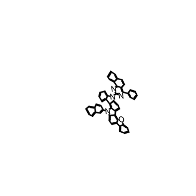 c1ccc(-c2nc(-n3c4ccccc4c4c3ccc3c5c6oc7ccccc7c6ccc5n(-c5ccc6ccccc6c5)c34)nc3c2ccc2ccccc23)cc1